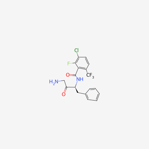 NCC(=O)[C@H](Cc1ccccc1)NC(=O)c1c(C(F)(F)F)ccc(Cl)c1F